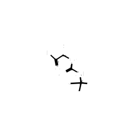 C[C@H](OC(=O)NC(C)(C)C)C(=O)F